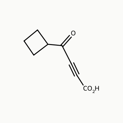 O=C(O)C#CC(=O)C1CCC1